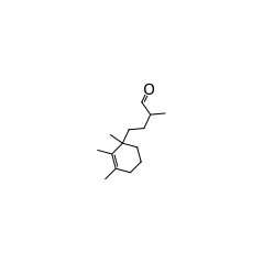 CC1=C(C)C(C)(CCC(C)C=O)CCC1